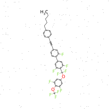 CCCCCc1ccc(C#Cc2ccc(-c3cc(F)c(C(F)(F)Oc4cc(F)c(OC(F)(F)F)c(F)c4)c(F)c3)c(F)c2)cc1